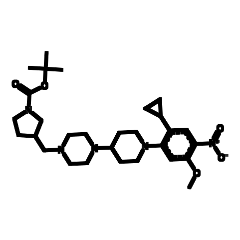 COc1cc(N2CCC(N3CCN(CC4CCN(C(=O)OC(C)(C)C)C4)CC3)CC2)c(C2CC2)cc1[N+](=O)[O-]